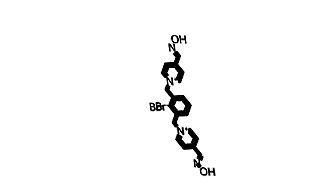 O/N=C/c1cc[n+](Cc2cccc(C[n+]3ccc(/C=N/O)cc3)c2)cc1.[Br-].[Br-]